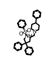 O=S(=O)(NCC(CCCN1CCC(c2ccccc2)CC1)(c1ccccc1)c1ccccc1)c1ccccc1